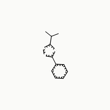 CC(C)c1noc(-c2ccccc2)n1